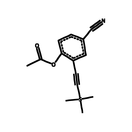 CC(=O)Oc1ccc(C#N)cc1C#CS(C)(C)C